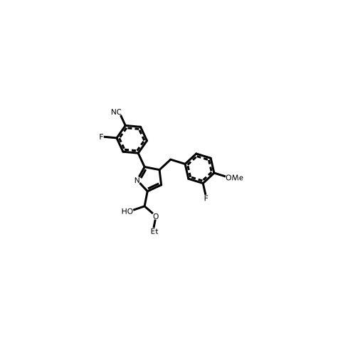 CCOC(O)C1=CC(Cc2ccc(OC)c(F)c2)C(c2ccc(C#N)c(F)c2)=N1